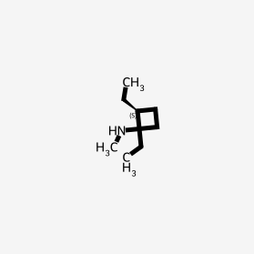 CC[C@H]1CCC1(CC)NC